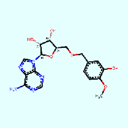 COc1ccc(COC[C@H]2O[C@@H](n3cnc4c(N)ncnc43)[C@H](O)[C@@H]2O)cc1O